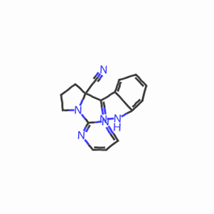 N#CC1(c2n[nH]c3ccccc23)CCCN1c1ncccn1